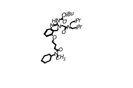 CC(C)COC(=O)NC1=Nc2cccc(OCCCC(=O)N(C)C3CCCCC3)c2CN1CC(=O)N(CC(C)C)CC(C)C